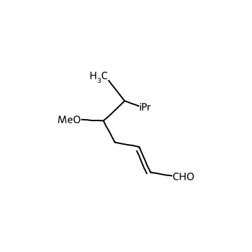 COC(CC=CC=O)C(C)C(C)C